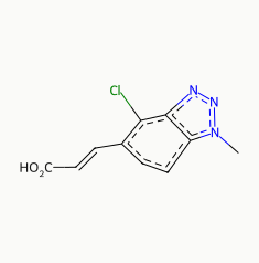 Cn1nnc2c(Cl)c(/C=C/C(=O)O)ccc21